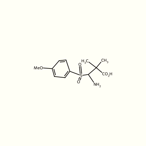 COc1ccc(S(=O)(=O)C(N)C(C)(C)C(=O)O)cc1